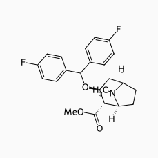 COC(=O)[C@@H]1[C@@H](OC(c2ccc(F)cc2)c2ccc(F)cc2)C[C@H]2CC[C@@H]1N2C